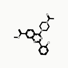 C=C(OC)c1ccc2c(N3CCN(C(C)=O)CC3)nc(-c3ccccc3Cl)nc2c1